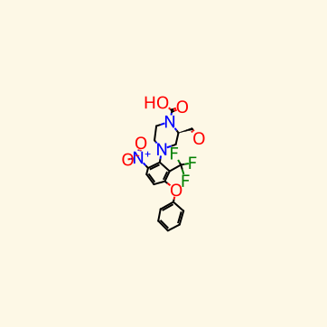 O=C[C@H]1CN(c2c([N+](=O)[O-])ccc(Oc3ccccc3)c2C(F)(F)F)CCN1C(=O)O